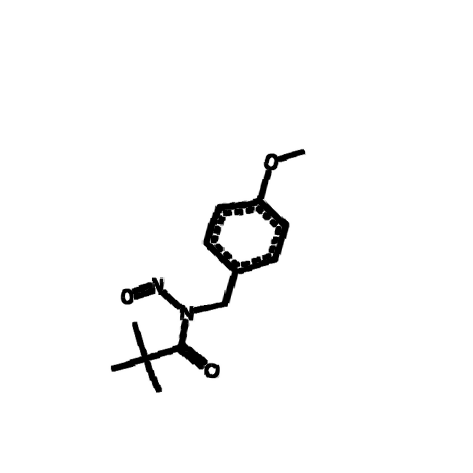 COc1ccc(CN(N=O)C(=O)C(C)(C)C)cc1